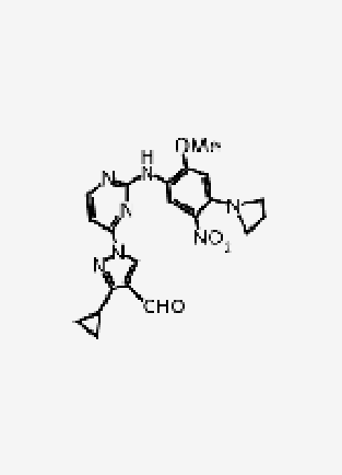 COc1cc(N2CCC2)c([N+](=O)[O-])cc1Nc1nccc(-n2cc(C=O)c(C3CC3)n2)n1